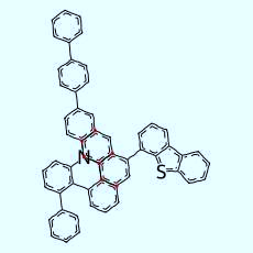 c1ccc(-c2ccc(-c3ccc(N(c4cccc(-c5cccc6c5sc5ccccc56)c4)c4cccc(-c5ccccc5)c4-c4ccccc4-c4ccccc4)cc3)cc2)cc1